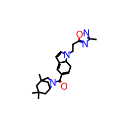 Cc1noc(CCN2C=CC3=CC(C(=O)N4CC5(C)CC4CC(C)(C)C5)=CCC32)n1